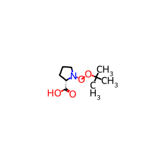 CC(C)(C)OON1CCC[C@H]1C(=O)O